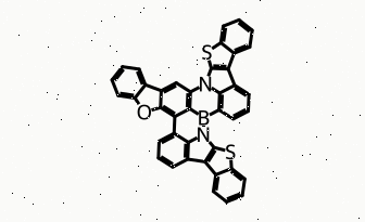 c1ccc2c(c1)oc1c3c4c(cc12)-n1c2sc5ccccc5c2c2cccc(c21)B4n1c2sc4ccccc4c2c2cccc-3c21